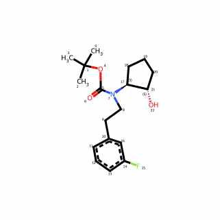 CC(C)(C)OC(=O)N(CCc1cccc(F)c1)[C@H]1CCC[C@@H]1O